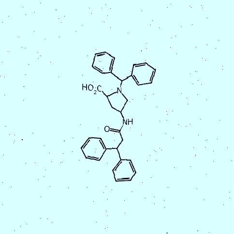 O=C(CC(c1ccccc1)c1ccccc1)NC1CC(C(=O)O)N(C(c2ccccc2)c2ccccc2)C1